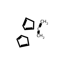 C1=CCC=C1.C1=CCC=C1.C=C=C